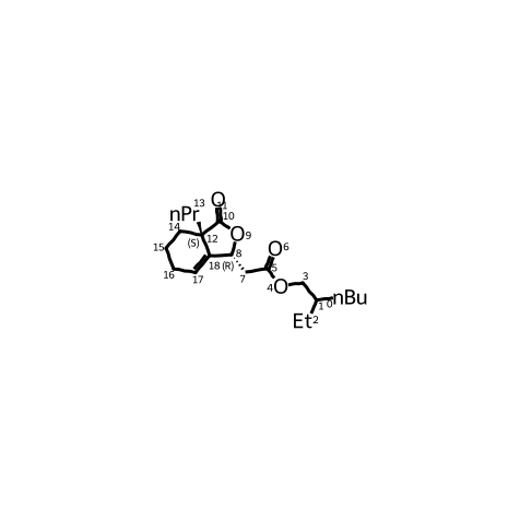 CCCCC(CC)COC(=O)C[C@H]1OC(=O)[C@@]2(CCC)CCCC=C12